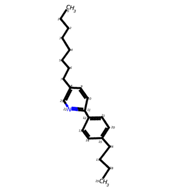 CCCCCCCCc1ccc(-c2ccc(CCCC)cc2)nc1